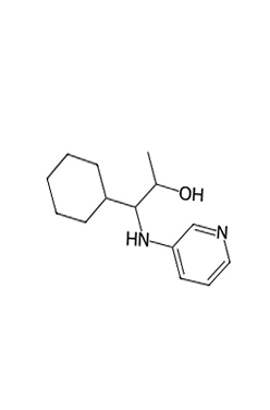 CC(O)C(Nc1cccnc1)C1CCCCC1